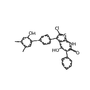 Cc1cc(O)c(-c2ccc(-c3c(Cl)sc4[nH]c(=O)c(-c5ccccc5)c(O)c34)cc2)cc1C